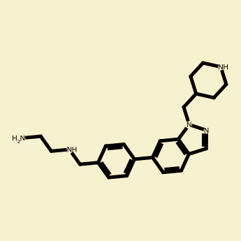 NCCNCc1ccc(-c2ccc3cnn(CC4CCNCC4)c3c2)cc1